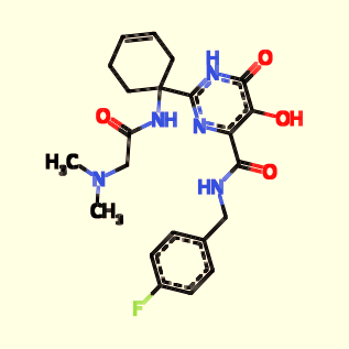 CN(C)CC(=O)NC1(c2nc(C(=O)NCc3ccc(F)cc3)c(O)c(=O)[nH]2)CC=CCC1